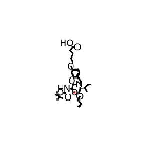 C=CCOC(=O)[C@H](C(C)CC)N(Cc1ccc(OCCCCC(=O)O)cc1)C(=O)C(C)NC(=O)OC(C)(C)C